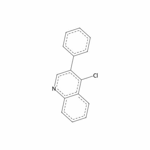 Clc1c(-c2ccccc2)cnc2ccccc12